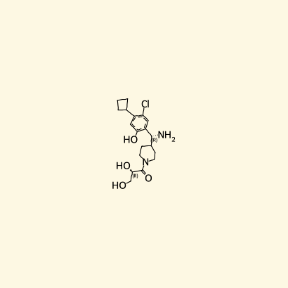 N[C@@H](c1cc(Cl)c(C2CCC2)cc1O)C1CCN(C(=O)[C@H](O)CO)CC1